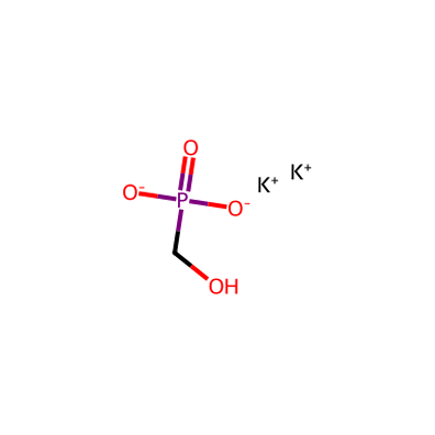 O=P([O-])([O-])CO.[K+].[K+]